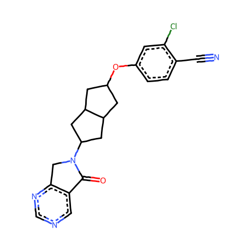 N#Cc1ccc(OC2CC3CC(N4Cc5ncncc5C4=O)CC3C2)cc1Cl